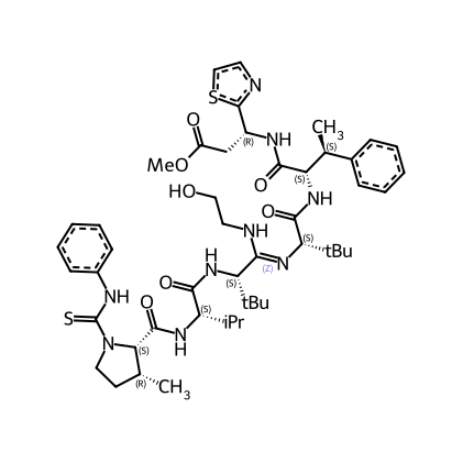 COC(=O)C[C@@H](NC(=O)[C@@H](NC(=O)[C@@H](/N=C(\NCCO)[C@@H](NC(=O)[C@@H](NC(=O)[C@@H]1[C@H](C)CCN1C(=S)Nc1ccccc1)C(C)C)C(C)(C)C)C(C)(C)C)[C@@H](C)c1ccccc1)c1nccs1